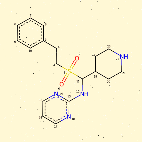 O=S(=O)(CCc1ccccc1)C(Nc1ncccn1)C1CCNCC1